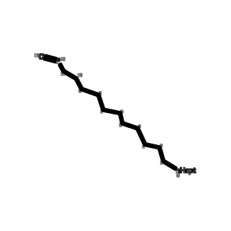 CCCCCCCCCCCCCCCCCCP=O